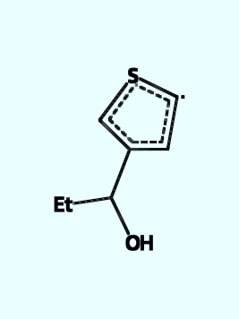 CCC(O)c1c[c]sc1